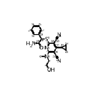 CN(CCO)c1nc(SC(C(N)=O)c2ccccc2)c(C#N)c(C2CC2)c1C#N